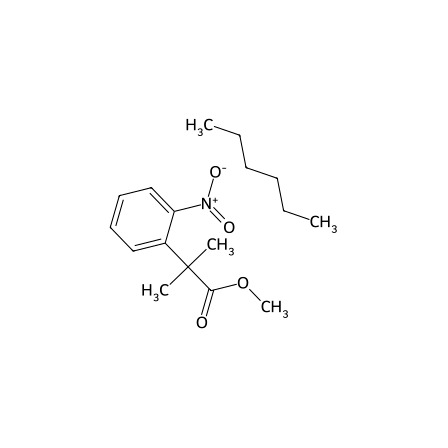 CCCCCC.COC(=O)C(C)(C)c1ccccc1[N+](=O)[O-]